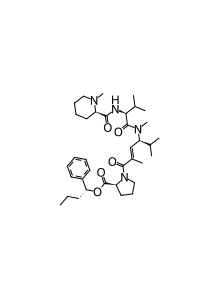 CCC[C@@H](OC(=O)[C@@H]1CCCN1C(=O)/C(C)=C/[C@H](C(C)C)N(C)C(=O)[C@@H](NC(=O)[C@H]1CCCCN1C)C(C)C)c1ccccc1